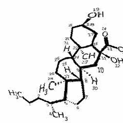 CCC[C@@H](C)[C@H]1CC[C@H]2[C@@H]3C[C@@](O)(C(=O)O)C4C[C@H](O)CC[C@]4(C)[C@H]3CC[C@]12C